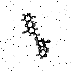 Cc1cc(Oc2c(F)cc(COc3cc4n(c(=O)n3)CC3CN4CCO3)cc2F)ccn1